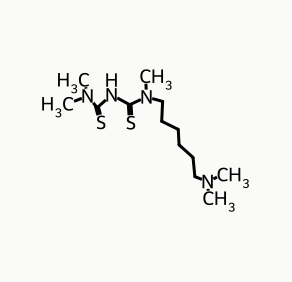 CN(C)CCCCCCN(C)C(=S)NC(=S)N(C)C